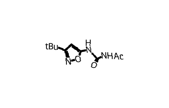 CC(=O)NC(=O)Nc1cc(C(C)(C)C)no1